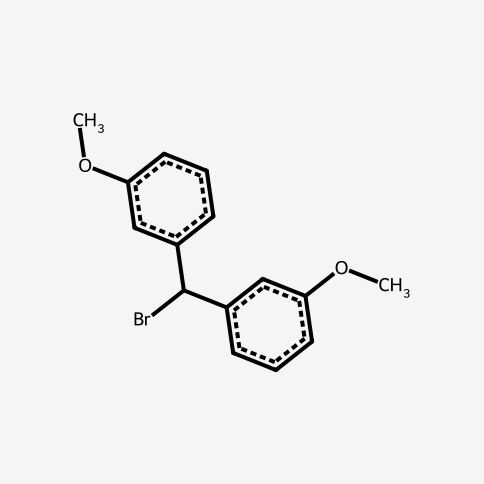 COc1cccc(C(Br)c2cccc(OC)c2)c1